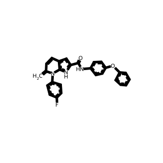 C=C1C=Cc2cc(C(=O)Nc3ccc(Oc4ccccc4)cc3)[nH]c2N1c1ccc(F)cc1